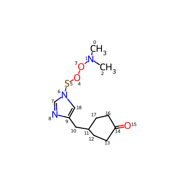 CN(C)OOSn1cnc(CC2CCC(=O)CC2)c1